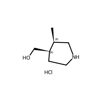 C[C@H]1CNCC[C@H]1CO.Cl